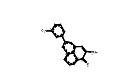 COC1=Cc2cc(-c3cccc([N+](=O)[O-])c3)cc3cccc(c23)C1=O